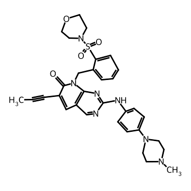 CC#Cc1cc2cnc(Nc3ccc(N4CCN(C)CC4)cc3)nc2n(Cc2ccccc2S(=O)(=O)N2CCOCC2)c1=O